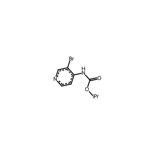 CC(C)OC(=O)Nc1ccncc1Br